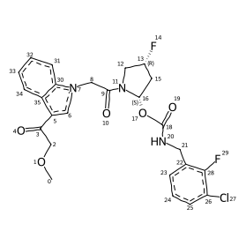 COCC(=O)c1cn(CC(=O)N2C[C@H](F)C[C@@H]2OC(=O)NCc2cccc(Cl)c2F)c2ccccc12